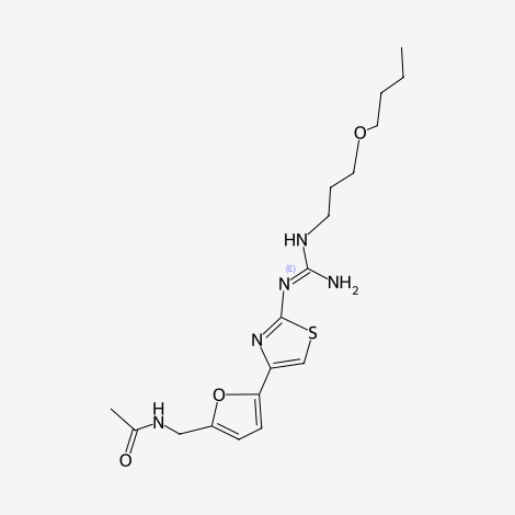 CCCCOCCCN/C(N)=N/c1nc(-c2ccc(CNC(C)=O)o2)cs1